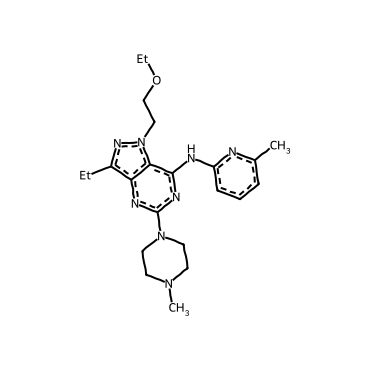 CCOCCn1nc(CC)c2nc(N3CCN(C)CC3)nc(Nc3cccc(C)n3)c21